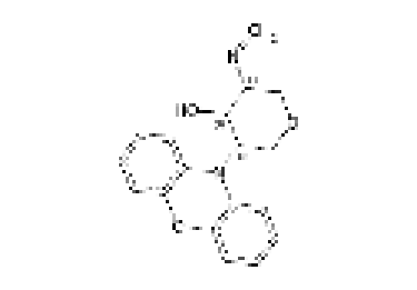 C=N[C@@H]1COC[C@H](N2c3ccccc3Oc3ccccc32)[C@H]1O